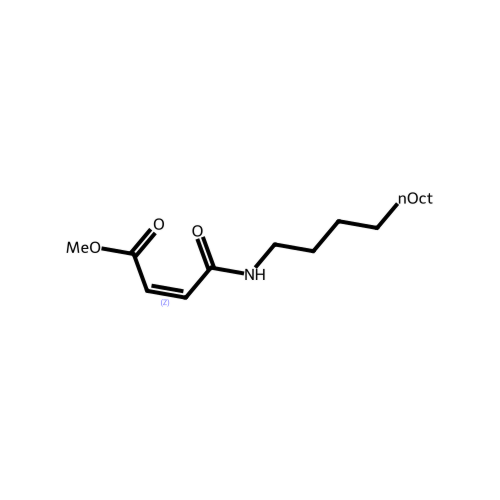 CCCCCCCCCCCCNC(=O)/C=C\C(=O)OC